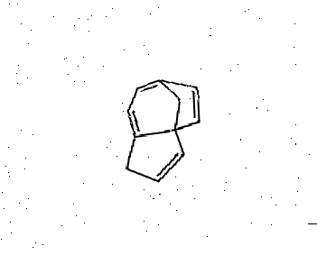 C1=CC23C=CC(=CC=C2C1)C3